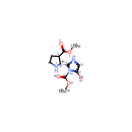 CC(C)(C)OC(=O)C1CCN[C@H]1c1ncc(Br)n1C(=O)OC(C)(C)C